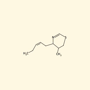 CC/C=C\CC1N=CSCC1C